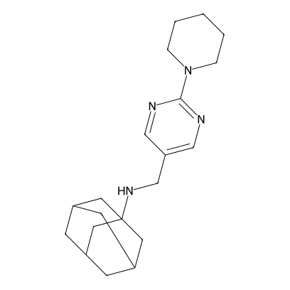 c1nc(N2CCCCC2)ncc1CNC12CC3CC(CC(C3)C1)C2